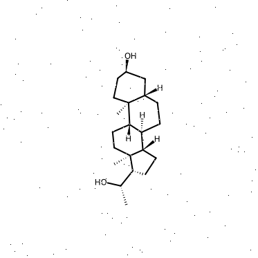 C[C@H](O)[C@H]1CC[C@H]2[C@@H]3CC[C@H]4C[C@H](O)CC[C@]4(C)[C@H]3CC[C@]12C